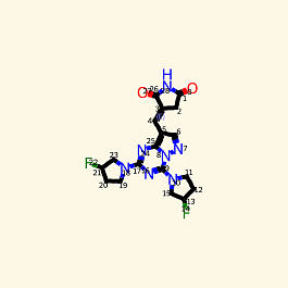 O=C1C/C(=C\c2cnn3c(N4CCC(F)C4)nc(N4CCC(F)C4)nc23)C(=O)N1